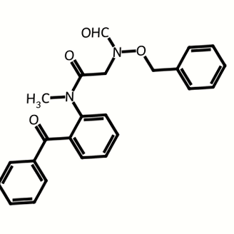 CN(C(=O)CN(C=O)OCc1ccccc1)c1ccccc1C(=O)c1ccccc1